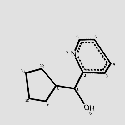 OC(c1ccccn1)C1CCCC1